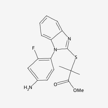 COC(=O)C(C)(C)Sc1nc2ccccc2n1-c1ccc(N)cc1F